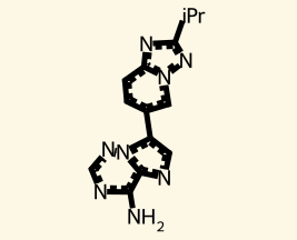 CC(C)c1nc2ccc(-c3cnc4c(N)ncnn34)cn2n1